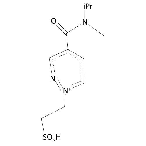 CC(C)N(C)C(=O)c1cc[n+](CCS(=O)(=O)O)nc1